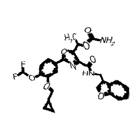 CC(OC(N)=O)c1oc(-c2ccc(OC(F)F)c(OCC3CC3)c2)nc1C(=O)NCc1coc2ccccc12